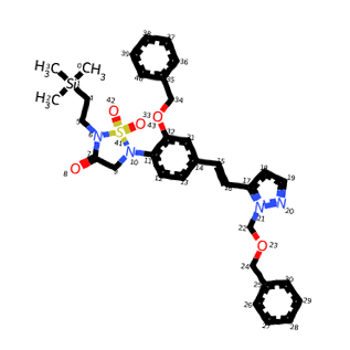 C[Si](C)(C)CCN1C(=O)CN(c2ccc(C=Cc3ccnn3COCc3ccccc3)cc2OCc2ccccc2)S1(=O)=O